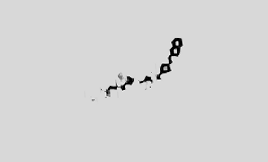 C/N=C(/CCNC(=O)c1cc(NC(=O)c2cc(NC(=O)c3ccc(/C=C/c4ccc5ccccc5c4)cc3)cn2C)cn1C)NC